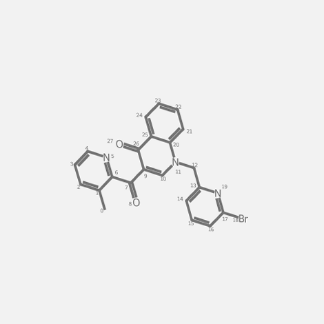 Cc1cccnc1C(=O)c1cn(Cc2cccc(Br)n2)c2ccccc2c1=O